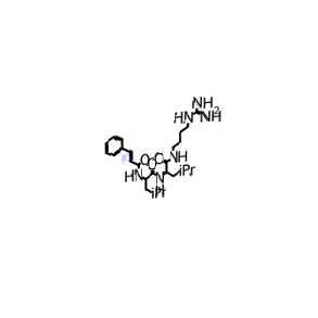 CC(C)CC(NC(=O)/C=C/c1ccccc1)C(=O)NC(CC(C)C)C(=O)NCCCCNC(=N)N